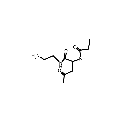 CCC(=O)NC(CC(C)=O)C(=O)NCCN